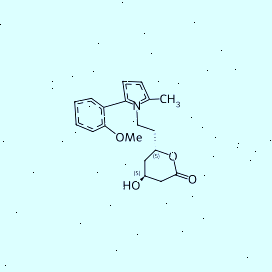 COc1ccccc1-c1ccc(C)n1CC[C@H]1C[C@H](O)CC(=O)O1